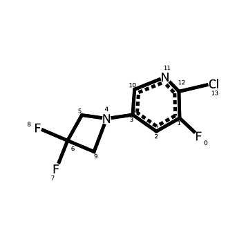 Fc1cc(N2CC(F)(F)C2)cnc1Cl